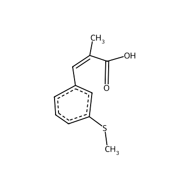 CSc1cccc(C=C(C)C(=O)O)c1